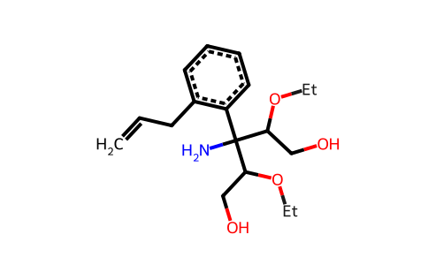 C=CCc1ccccc1C(N)(C(CO)OCC)C(CO)OCC